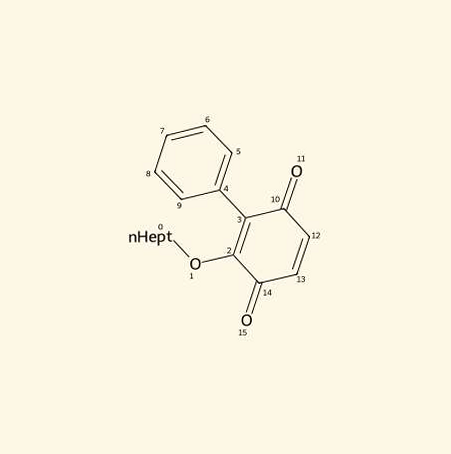 CCCCCCCOC1=C(c2ccccc2)C(=O)C=CC1=O